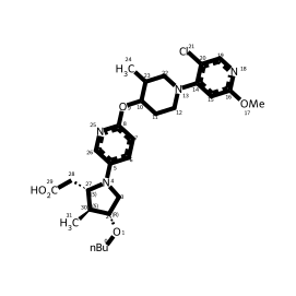 CCCCO[C@H]1CN(c2ccc(OC3CCN(c4cc(OC)ncc4Cl)CC3C)nc2)[C@@H](CC(=O)O)[C@@H]1C